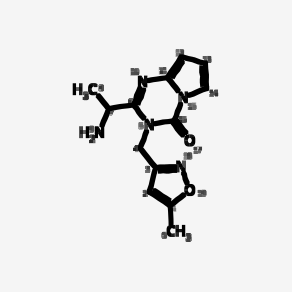 Cc1cc(Cn2c(C(C)N)nc3cccn3c2=O)no1